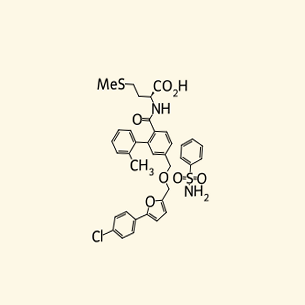 CSCC[C@H](NC(=O)c1ccc(COCc2ccc(-c3ccc(Cl)cc3)o2)cc1-c1ccccc1C)C(=O)O.NS(=O)(=O)c1ccccc1